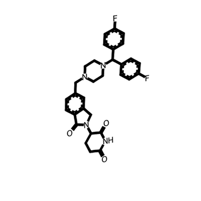 O=C1CCC(N2Cc3cc(CN4CCN(C(c5ccc(F)cc5)c5ccc(F)cc5)CC4)ccc3C2=O)C(=O)N1